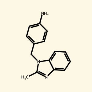 Cc1nc2ccccc2n1Cc1ccc(N)cc1